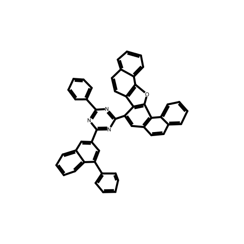 c1ccc(-c2nc(-c3cc(-c4ccccc4)c4ccccc4c3)nc(-c3cc4ccc5ccccc5c4c4oc5c6ccccc6ccc5c34)n2)cc1